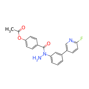 CC(=O)Oc1ccc(C(=O)N(N)c2cccc(-c3ccc(F)nc3)c2)cc1